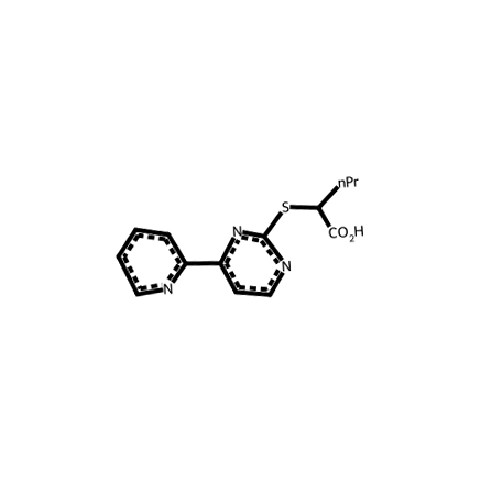 CCCC(Sc1nccc(-c2ccccn2)n1)C(=O)O